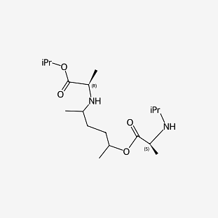 CC(C)N[C@@H](C)C(=O)OC(C)CCC(C)N[C@H](C)C(=O)OC(C)C